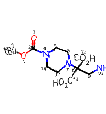 CC(C)(C)OC(=O)N1CCN(C(CN)(C(=O)O)C(=O)O)CC1